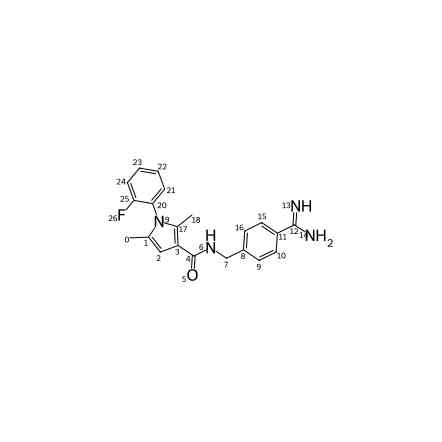 Cc1cc(C(=O)NCc2ccc(C(=N)N)cc2)c(C)n1-c1ccccc1F